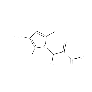 CCNC(=O)C(C)n1c(C)cc(C=O)c1C